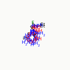 CCN(CC)CCNC(=O)c1c(C)[nH]c(/C=C2\C(=O)N(C(=O)c3c(C)cccc3C(C)(C)SSCC(=O)N[C@H](C(=O)N[C@@H](CCN)C(=O)N[C@H]3CCNC(=O)[C@H]([C@@H](C)O)NC(=O)[C@H](CCN)NC(=O)[C@H](CCN)NC(=O)[C@H](CC(C)C)NC(=O)[C@@H](Cc4ccccc4)NC(=O)[C@H](CCN)NC3=O)[C@@H](C)O)c3ccc(F)cc32)c1C